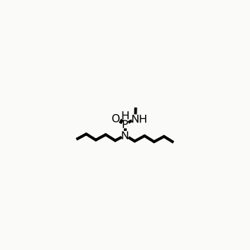 CCCCCN(CCCCC)[PH](=O)NC